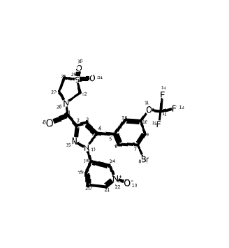 O=C(c1cc(-c2cc(Br)cc(OC(F)(F)F)c2)n(-c2ccc[n+]([O-])c2)n1)N1CCS(=O)(=O)C1